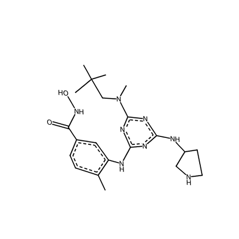 Cc1ccc(C(=O)NO)cc1Nc1nc(NC2CCNC2)nc(N(C)CC(C)(C)C)n1